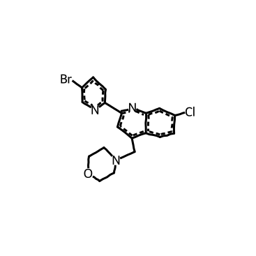 Clc1ccc2c(CN3CCOCC3)cc(-c3ccc(Br)cn3)nc2c1